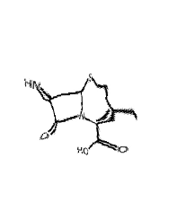 CC1=C(C(=O)O)N2C(=O)C(=N)C2SC1